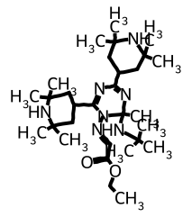 CCOC(=O)C=NN1C(C2CC(C)(C)NC(C)(C)C2)=NC(C2CC(C)(C)NC(C)(C)C2)=NC1(C)NC(C)(C)C